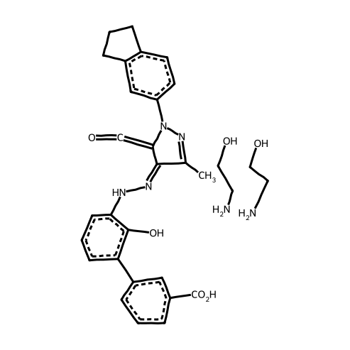 CC1=NN(c2ccc3c(c2)CCC3)C(=C=O)C1=NNc1cccc(-c2cccc(C(=O)O)c2)c1O.NCCO.NCCO